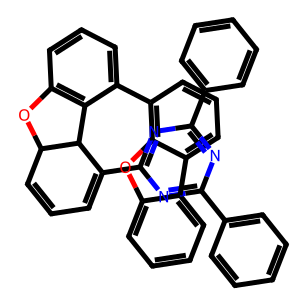 C1=CC2Oc3cccc(-c4cccc5c4oc4ccccc45)c3C2C(c2nc(-c3ccccc3)nc(-c3ccccc3)n2)=C1